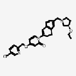 CCO[C@@H]1CCN(Cc2ccc3c(c2)CCC(n2ccc(OCc4ccc(Cl)cn4)cc2=O)=C3)C1